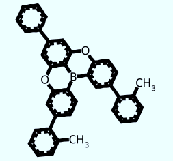 Cc1ccccc1-c1ccc2c(c1)Oc1cc(-c3ccccc3)cc3c1B2c1cc(-c2ccccc2C)ccc1O3